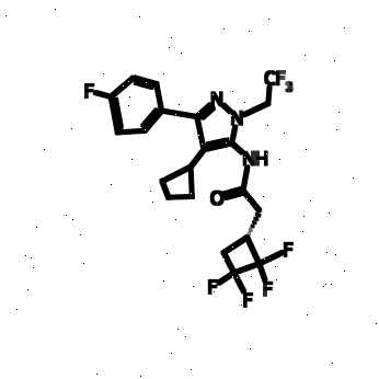 O=C(C[C@H]1CC(F)(F)C1(F)F)Nc1c(C2CCC2)c(-c2ccc(F)cc2)nn1CC(F)(F)F